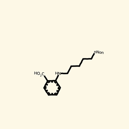 CCCCCCCCCCCCCCNc1ccccc1C(=O)O